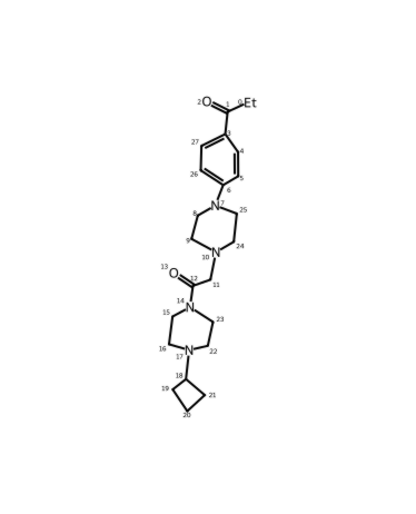 CCC(=O)c1ccc(N2CCN(CC(=O)N3CCN(C4CCC4)CC3)CC2)cc1